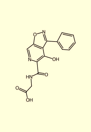 O=C(O)CNC(=O)c1ncc2onc(-c3ccccc3)c2c1O